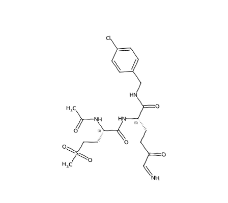 CC(=O)N[C@@H](CCS(C)(=O)=O)C(=O)N[C@@H](CCC(=O)C=N)C(=O)NCc1ccc(Cl)cc1